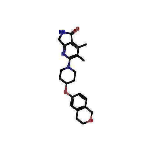 Cc1c(N2CCC(Oc3ccc4c(c3)CCOC4)CC2)nc2c(c1C)C(=O)NC2